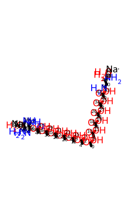 CC(=O)O.CC(=O)O.CC(=O)O.CC(=O)O.CC(=O)O.CC(=O)O.CC(=O)O.CC(=O)O.CC(=O)O.CC(=O)O.CC(=O)O.CC(=O)O.NCCN.NCCN.NCCN.O.O.O.[Na].[Na].[Na]